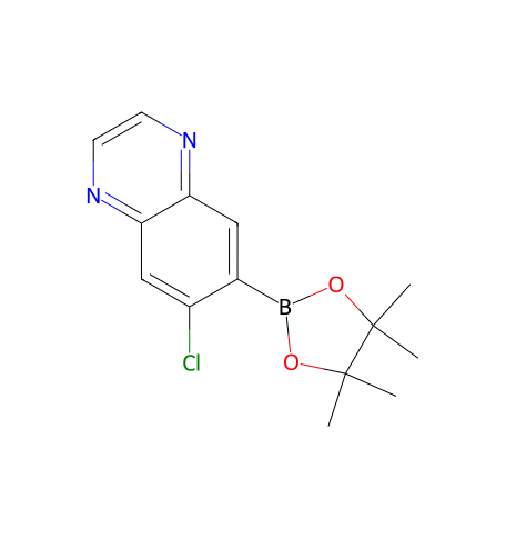 CC1(C)OB(c2cc3nccnc3cc2Cl)OC1(C)C